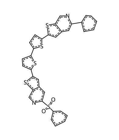 O=S(=O)(c1ccccc1)c1cc2cc(-c3ccc(-c4ccc(-c5cc6cc(-c7ccccc7)ncc6s5)s4)s3)sc2cn1